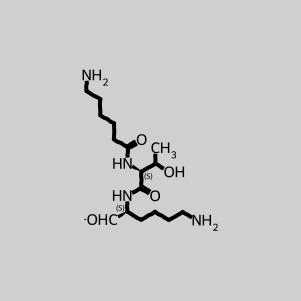 CC(O)[C@H](NC(=O)CCCCCN)C(=O)N[C@H]([C]=O)CCCCN